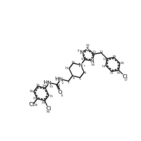 O=C(NCC1CCN(c2nsc(Cc3ccc(Cl)cc3)n2)CC1)Nc1ccc(Cl)c(Cl)c1